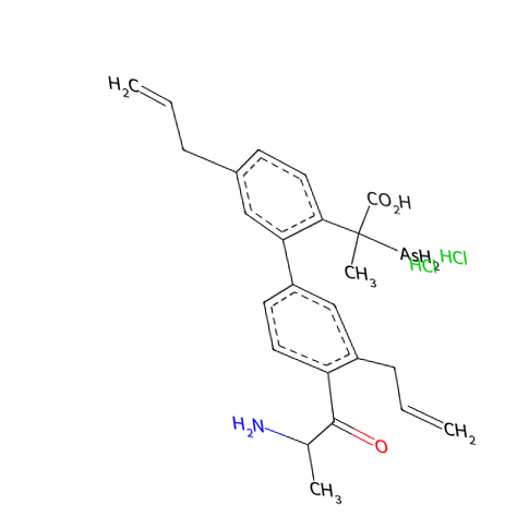 C=CCc1ccc(C(C)([AsH2])C(=O)O)c(-c2ccc(C(=O)C(C)N)c(CC=C)c2)c1.Cl.Cl